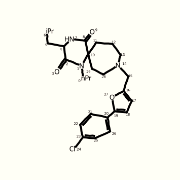 CCCN1C(=O)C(CC(C)C)NC(=O)C12CCCN(Cc1ccc(-c3ccc(Cl)cc3)o1)CC2